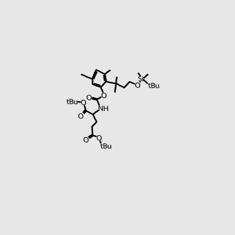 Cc1cc(C)c(C(C)(C)CCO[Si](C)(C)C(C)(C)C)c(OC(=O)NC(CCC(=O)OC(C)(C)C)C(=O)OC(C)(C)C)c1